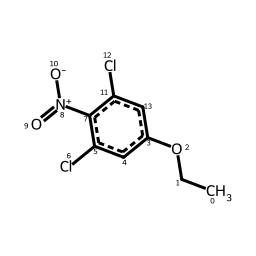 CCOc1cc(Cl)c([N+](=O)[O-])c(Cl)c1